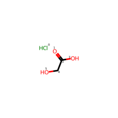 Cl.O=C(O)CO